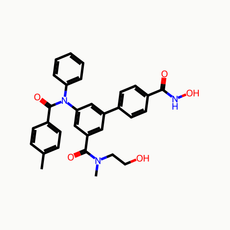 Cc1ccc(C(=O)N(c2ccccc2)c2cc(C(=O)N(C)CCO)cc(-c3ccc(C(=O)NO)cc3)c2)cc1